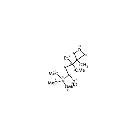 CCOC(CC(CC)(OC)C1(C)COC1)[Si](OC)(OC)OC